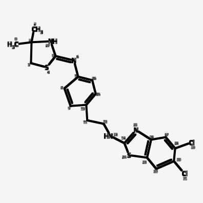 CC1(C)CS/C(=N\c2ccc(CCNc3nc4cc(Cl)c(Cl)cc4s3)cc2)N1